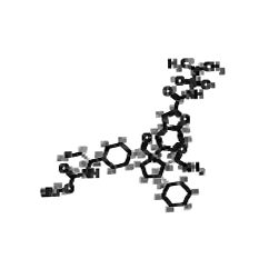 CN(C)S(=O)(=O)NC(=O)c1cc2cc([N+]3(C(=O)[C@H]4CC[C@H]([C@@H](CF)NC(=O)OC(C)(C)C)CC4)CC[C@@H](C4CCCCC4)[C@H]3C(N)=O)ccc2o1